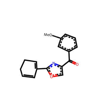 COc1cccc(C(=O)c2coc(C3=CCCC=C3)n2)c1